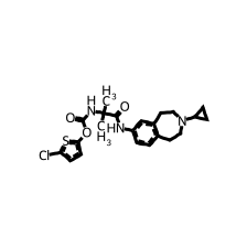 CC(C)(NC(=O)Oc1ccc(Cl)s1)C(=O)Nc1ccc2c(c1)CCN(C1CC1)CC2